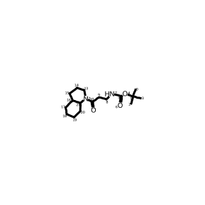 CC(C)(C)OC(=O)NCCC(=O)N1CCCC2CCCCC21